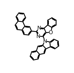 c1ccc2cc3c(cc2c1)c1ccccc1n3-c1nc(-c2ccc3ccc4ccccc4c3c2)nc2c1oc1ccccc12